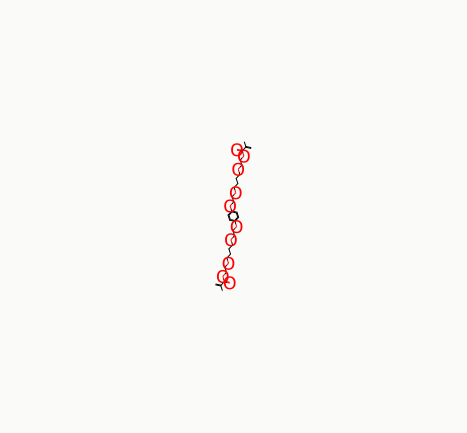 C=C(C)C(=O)OCCOCCCCOCCOc1ccc(OCCOCCCCOCCOC(=O)C(=C)C)cc1